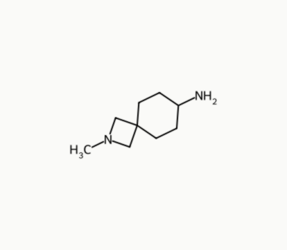 CN1CC2(CCC(N)CC2)C1